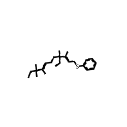 CCC(C)(C)/C(C)=C/CCC(C)(CC)/C(C)=C/CSc1ccccc1